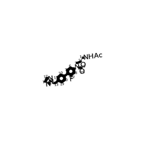 CC(=O)NC[C@H]1CN(c2ccc(-c3ccc(Cn4nccn4)cc3)c(F)c2)C(=O)O1